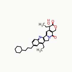 CCc1c2c(nc3ccc(CCCC4CCCCC4)cc13)-c1cc3c(c(=O)n1C2)COC(=O)[C@]3(O)CC